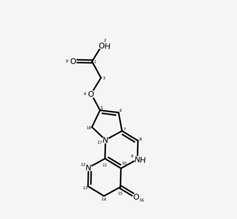 O=C(O)COC1=CC2=CNC3=C(N=CCC3=O)N2C1